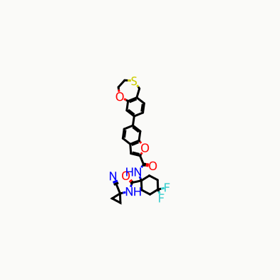 N#CC1(NC(=O)C2(NC(=O)c3cc4ccc(-c5ccc6c(c5)OCCSC6)cc4o3)CCC(F)(F)CC2)CC1